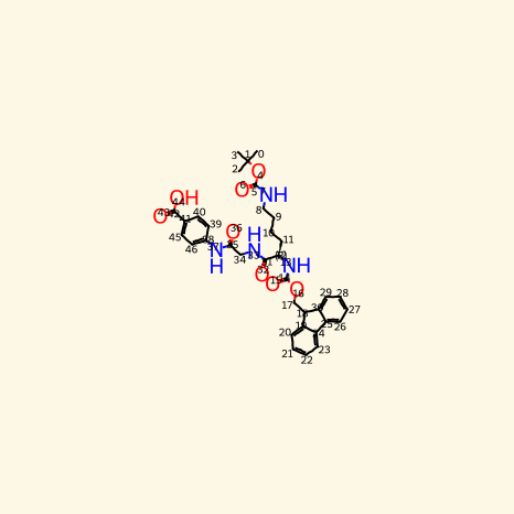 CC(C)(C)OC(=O)NCCCC[C@@H](NC(=O)OCC1c2ccccc2-c2ccccc21)C(=O)NCC(=O)Nc1ccc(C(=O)O)cc1